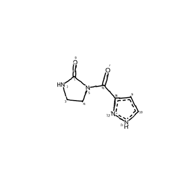 O=C1NCCN1C(=O)c1cc[nH]n1